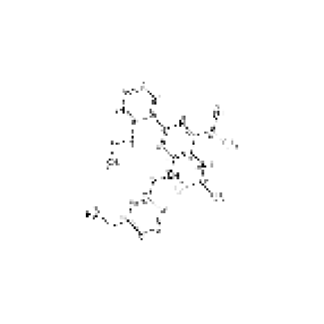 CCOc1ncccc1-c1cc(NCc2cc(OC)ncn2)c(NC(C)C)c(C(C)=N)n1